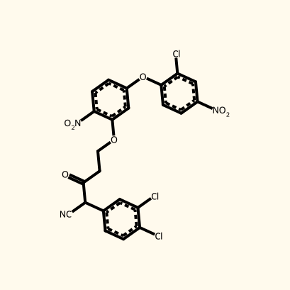 N#CC(C(=O)CCOc1cc(Oc2ccc([N+](=O)[O-])cc2Cl)ccc1[N+](=O)[O-])c1ccc(Cl)c(Cl)c1